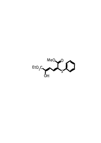 CCOC(=O)C(O)=CC=C(Sc1ccccc1)C(=O)OC